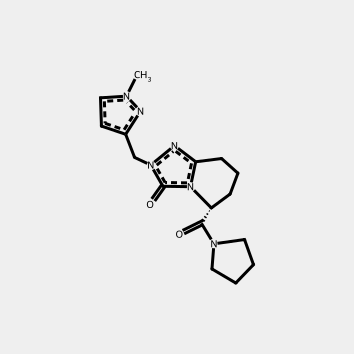 Cn1ccc(Cn2nc3n(c2=O)[C@@H](C(=O)N2CCCC2)CCC3)n1